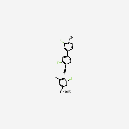 CCCCCc1cc(C)c(C#Cc2ccc(-c3ccc(C#N)c(F)c3)cc2F)c(F)c1